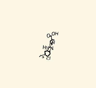 CCSc1cc2[nH]c(-n3cc(C(=O)O)cn3)nc2cc1Cl